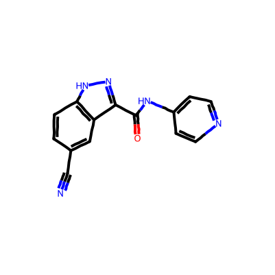 N#Cc1ccc2[nH]nc(C(=O)Nc3ccncc3)c2c1